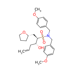 C=CC[C@@H](O)[C@@H](C[C@@H]1CCCO1)S(=O)(=O)N(Cc1ccc(OC)cc1)Cc1ccc(OC)cc1